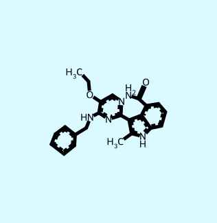 CCOc1cnc(-c2c(C)[nH]c3cccc(C(N)=O)c23)nc1NCc1ccccc1